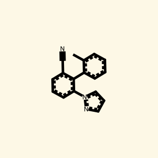 Cc1ccccc1-c1c(C#N)cccc1-n1cccn1